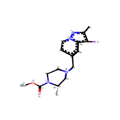 Cc1nn2ccc(CN3CCN(C(=O)OC(C)(C)C)[C@@H](C)C3)cc2c1I